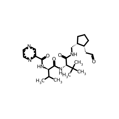 CC(C)[C@@H](NC(=O)c1cnccn1)C(=O)N[C@H](C(=O)NC[C@@H]1CCC[C@@H]1CC=O)C(C)(C)C